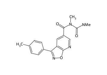 CNC(=O)N(C)C(=O)c1cnc2onc(-c3ccc(C)cc3)c2c1